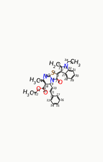 C=c1/c(=c2\sc3n(c2=O)C(/C=C/c2ccccc2)C(C(=O)OCC)=C(C)N=3)c2ccccc2n1CC